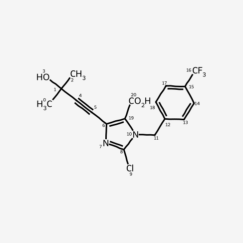 CC(C)(O)C#Cc1nc(Cl)n(Cc2ccc(C(F)(F)F)cc2)c1C(=O)O